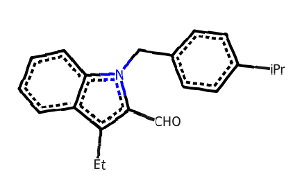 CCc1c(C=O)n(Cc2ccc(C(C)C)cc2)c2ccccc12